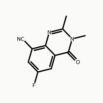 Cc1nc2c(C#N)cc(F)cc2c(=O)n1C